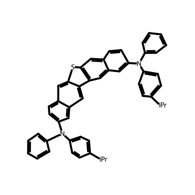 CC(C)c1ccc(N(c2ccccc2)c2ccc3cc4sc5cc6ccc(N(c7ccccc7)c7ccc(C(C)C)cc7)cc6cc5c4cc3c2)cc1